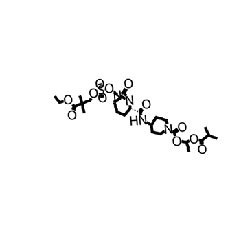 CCOC(=O)C(C)(C)COS(=O)(=O)ON1C(=O)N2CC1CC[C@H]2C(=O)NC1CCN(C(=O)OC(C)OC(=O)C(C)C)CC1